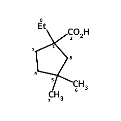 CCC1(C(=O)O)CCC(C)(C)C1